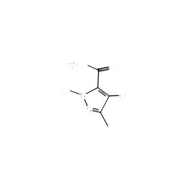 CCn1nc(C)c(Cl)c1C(=O)OC